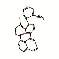 Cc1ccc(-c2cccc3cccc(-c4ccc(-c5ccccc5C#N)cc4)c23)cc1